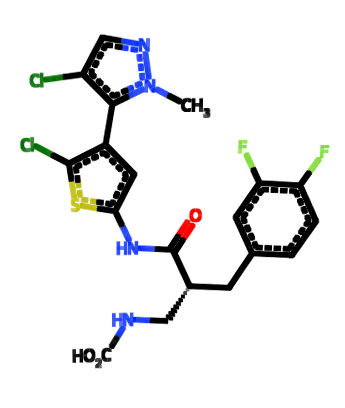 Cn1ncc(Cl)c1-c1cc(NC(=O)[C@@H](CNC(=O)O)Cc2ccc(F)c(F)c2)sc1Cl